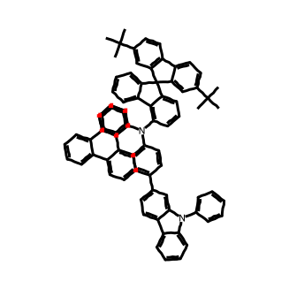 CC(C)(C)c1ccc2c(c1)C1(c3cc(C(C)(C)C)ccc3-2)c2ccccc2-c2c(N(c3ccc(-c4ccc5c6ccccc6n(-c6ccccc6)c5c4)cc3)c3ccccc3-c3ccccc3-c3ccccc3-c3ccccc3)cccc21